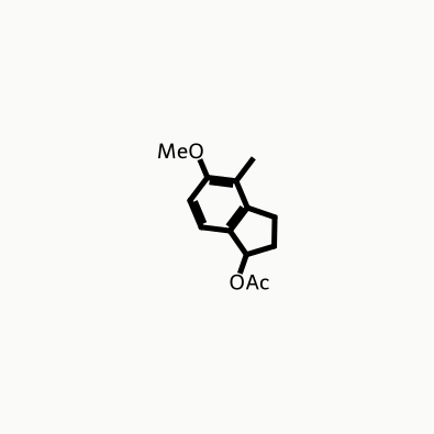 COc1ccc2c(c1C)CCC2OC(C)=O